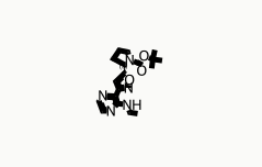 CCNc1nccnc1-c1cc([C@@H]2CCCN2C(=O)OC(C)(C)C)on1